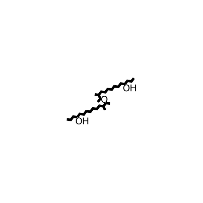 CCCC(O)CCCCCCCC(C)C(C)OC(C)C(C)CCCCCCCC(O)CCC